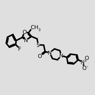 Cc1oc(-c2ccccc2F)nc1CSCC(=O)N1CCN(c2ccc([N+](=O)[O-])cc2)CC1